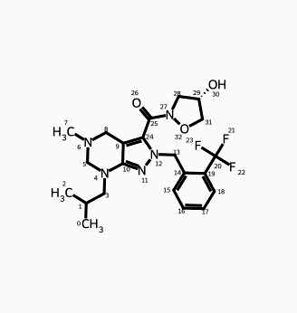 CC(C)CN1CN(C)Cc2c1nn(Cc1ccccc1C(F)(F)F)c2C(=O)N1C[C@H](O)CO1